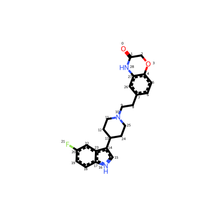 O=C1COc2ccc(CCN3CCC(c4c[nH]c5ccc(F)cc45)CC3)cc2N1